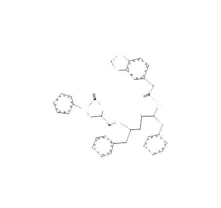 O=C(Cc1ccc2c(c1)OCO2)NC(Cc1ccccc1)C(O)CC(Cc1ccccc1)NC(=O)C1CN(c2ccccc2)C(=O)O1